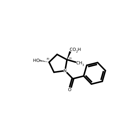 C[C@@]1(C(=O)O)C[C@@H](O)CN1C(=O)c1ccccc1